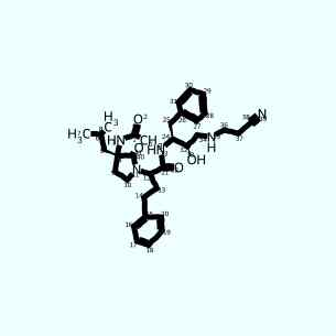 CC(=O)N[C@@]1(CC(C)C)CCN(C(CCc2ccccc2)C(=O)N[C@@H](Cc2ccccc2)[C@@H](O)CNCCC#N)C1=O